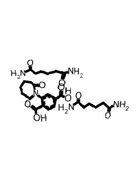 NC(=O)CCCCC(N)=O.NC(=O)CCCCC(N)=O.O=C(O)c1ccc(C(=O)O)c(N2CCCCCC2=O)c1